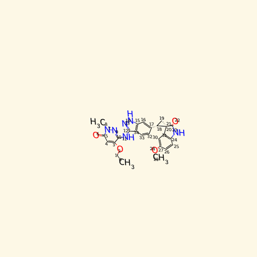 CCOc1cc(=O)n(C)nc1Nc1n[nH]c2cc([C@@H]3C[C@@]34C(=O)Nc3ccc(OC)cc34)ccc12